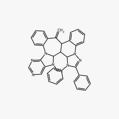 C=C1c2ccccc2N2c3ncncc3N(C)C2C2C1c1ccccc1N1N=C(c3ccccc3)N(c3ccccc3)C21